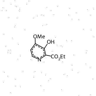 CCOC(=O)c1nccc(OC)c1O